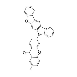 Cc1ccc2oc3cc(-n4c5ccccc5c5cc6c(cc54)oc4ccccc46)ccc3c(=O)c2c1